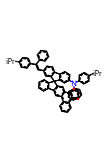 CC(C)c1ccc(/C(=C/c2ccc3c(c2)C2(c4ccccc4-c4cc5c6ccccc6c6ccccc6c5cc42)c2cc(N(c4ccccc4)c4ccc(C(C)C)cc4)ccc2-3)c2ccccc2)cc1